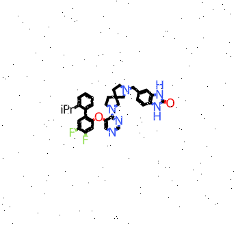 CC(C)c1ccccc1-c1cc(F)c(F)cc1Oc1cncnc1N1CCC2(CCN(Cc3ccc4[nH]c(=O)[nH]c4c3)C2)C1